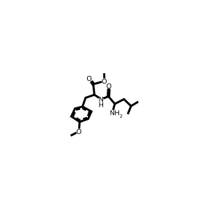 COC(=O)C(Cc1ccc(OC)cc1)NC(=O)C(N)CC(C)C